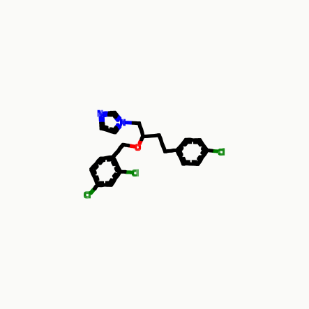 Clc1ccc(CCC(Cn2ccnc2)OCc2ccc(Cl)cc2Cl)cc1